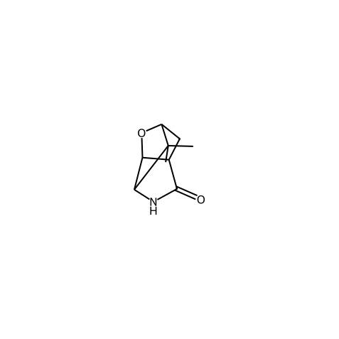 CC1(C)C2CC3C(=O)NC1C3O2